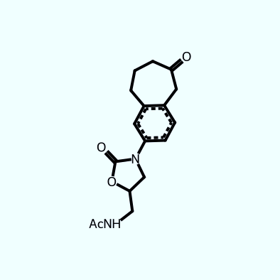 CC(=O)NCC1CN(c2ccc3c(c2)CCCC(=O)C3)C(=O)O1